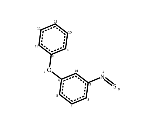 S=Nc1cccc(Oc2ccccc2)c1